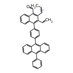 C=Cc1c(/C=C\C)c(C=O)c2ccccc2c1-c1ccc(-c2c3ccccc3c(-c3ccccc3)c3ccccc23)cc1